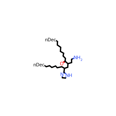 CCCCCCCCCCCCCCCCCC(=O)C(CCN)CC(CCCCCCCCCCCCCCCC)C1=NCCN1